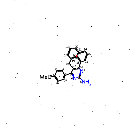 COc1ccc(-c2nc(N)nc(-c3ccccc3)c2Cc2ccccc2)cc1